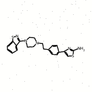 Nc1nc(-c2ccc(CCN3CCN(c4nsc5ccccc45)CC3)cc2)cs1